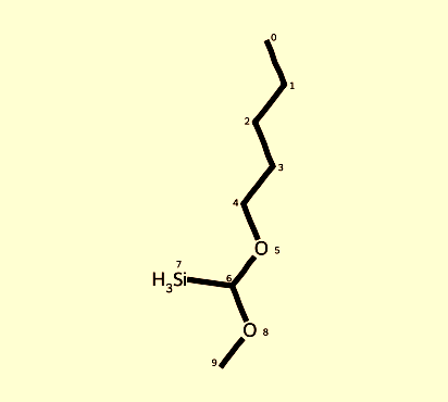 CCCCCOC([SiH3])OC